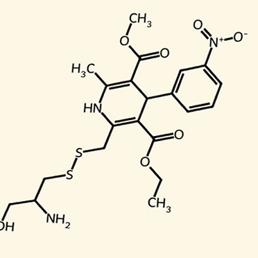 CCOC(=O)C1=C(CSSCC(N)CO)NC(C)=C(C(=O)OC)C1c1cccc([N+](=O)[O-])c1